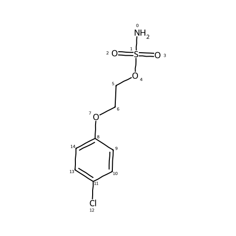 NS(=O)(=O)OCCOc1ccc(Cl)cc1